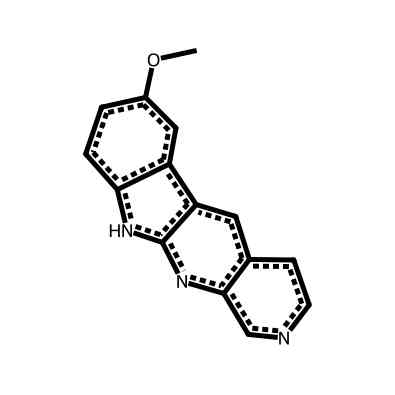 COc1ccc2[nH]c3nc4cnccc4cc3c2c1